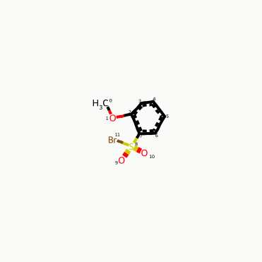 COc1ccccc1S(=O)(=O)Br